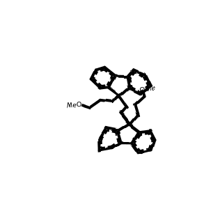 COCCCC1(CCC2(CCCOC)c3ccccc3-c3ccccc32)c2ccccc2-c2ccccc21